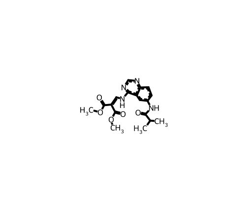 COC(=O)C(=CNc1ncnc2ccc(NC(=O)C(C)C)cc12)C(=O)OC